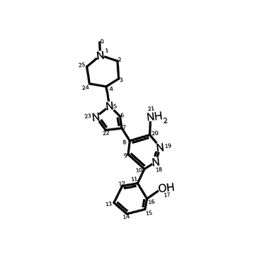 CN1CCC(n2cc(-c3cc(-c4ccccc4O)nnc3N)cn2)CC1